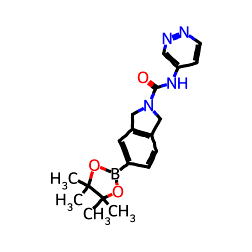 CC1(C)OB(c2ccc3c(c2)CN(C(=O)Nc2ccnnc2)C3)OC1(C)C